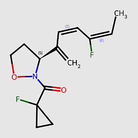 C=C(/C=C\C(F)=C/C)[C@@H]1CCON1C(=O)C1(F)CC1